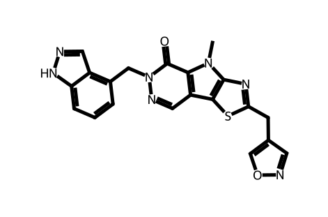 Cn1c2nc(Cc3cnoc3)sc2c2cnn(Cc3cccc4[nH]ncc34)c(=O)c21